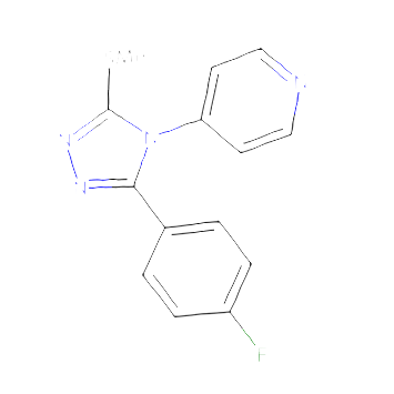 CSc1nnc(-c2ccc(F)cc2)n1-c1ccncc1